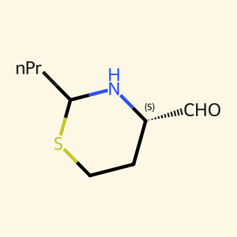 CCCC1N[C@H](C=O)CCS1